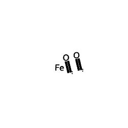 [C]=O.[C]=O.[Fe]